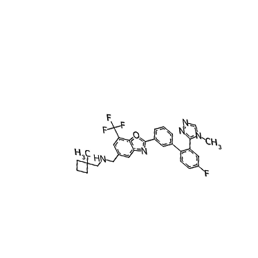 Cn1cnnc1-c1cc(F)ccc1-c1cccc(-c2nc3cc(CNCC4(C)CCC4)cc(C(F)(F)F)c3o2)c1